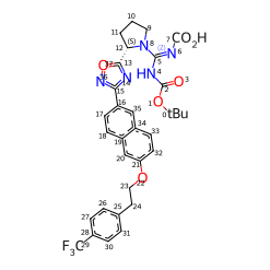 CC(C)(C)OC(=O)N/C(=N/C(=O)O)N1CCC[C@H]1c1nc(-c2ccc3cc(OCCc4ccc(C(F)(F)F)cc4)ccc3c2)no1